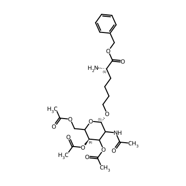 CC(=O)NC1C(OC(C)=O)[C@@H](OC(C)=O)C(COC(C)=O)O[C@@H]1OCCCC[C@H](N)C(=O)OCc1ccccc1